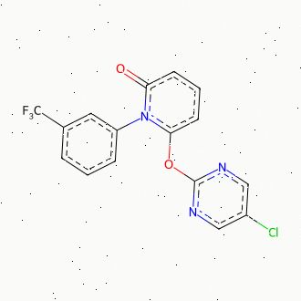 O=c1cccc(Oc2ncc(Cl)cn2)n1-c1cccc(C(F)(F)F)c1